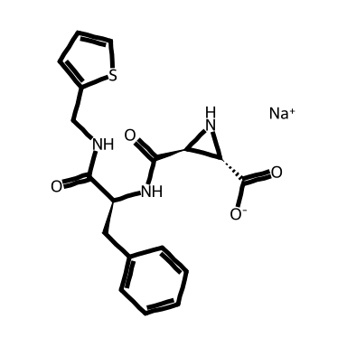 O=C(NCc1cccs1)[C@H](Cc1ccccc1)NC(=O)[C@H]1N[C@@H]1C(=O)[O-].[Na+]